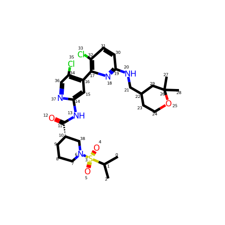 CC(C)S(=O)(=O)N1CCC[C@H](C(=O)Nc2cc(-c3nc(NCC4CCOC(C)(C)C4)ccc3Cl)c(Cl)cn2)C1